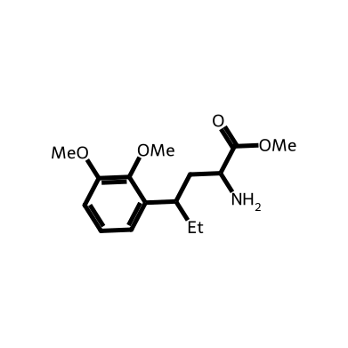 CCC(CC(N)C(=O)OC)c1cccc(OC)c1OC